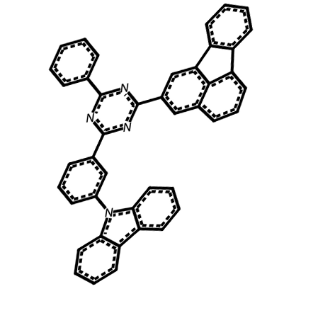 c1ccc(-c2nc(-c3cccc(-n4c5ccccc5c5ccccc54)c3)nc(-c3cc4c5c(cccc5c3)-c3ccccc3-4)n2)cc1